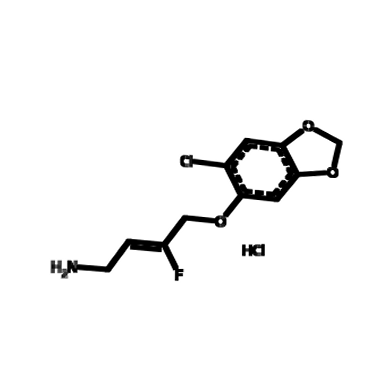 Cl.NC/C=C(\F)COc1cc2c(cc1Cl)OCO2